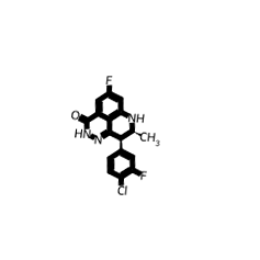 C[C@H]1Nc2cc(F)cc3c(=O)[nH]nc(c23)[C@@H]1c1ccc(Cl)c(F)c1